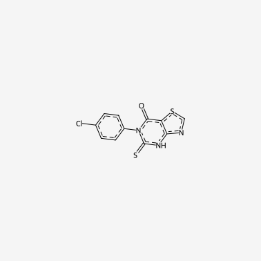 O=c1c2scnc2[nH]c(=S)n1-c1ccc(Cl)cc1